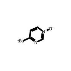 CC(C)(C)c1cc[n+]([O-])cn1